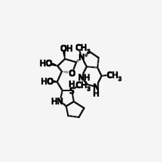 CC1NCNC2C1CC[N+]2(C)[C@@H]1O[C@H]([C@H](O)C2NC3CCCC3[SH]2C)[C@@H](O)[C@H]1O